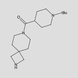 CC(C)(C)N1CCC(C(=O)N2CCC3(CC2)CNC3)CC1